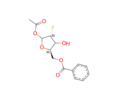 CC(=O)OC1O[C@H](COC(=O)c2ccccc2)C(O)[C@H]1F